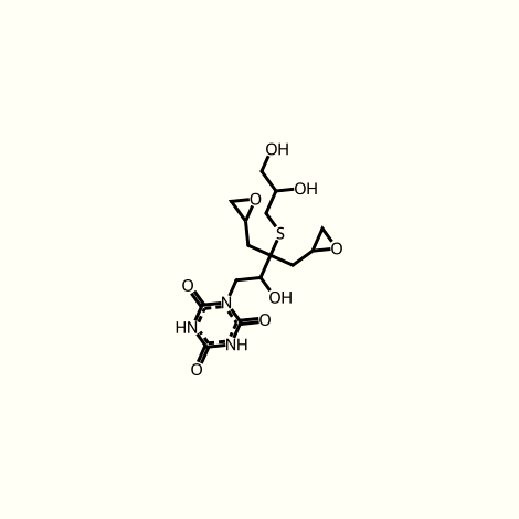 O=c1[nH]c(=O)n(CC(O)C(CC2CO2)(CC2CO2)SCC(O)CO)c(=O)[nH]1